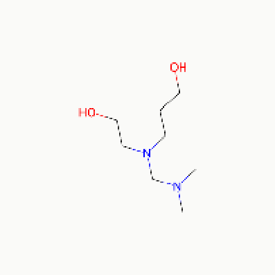 CN(C)CN(CCO)CCCO